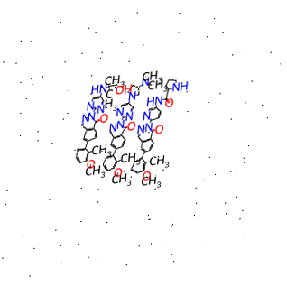 COc1cccc(-c2ccc3c(=O)n(-c4ccc(NC(=O)C5CCCN5)cn4)ncc3c2)c1C.COc1cccc(-c2ccc3c(=O)n(-c4ncc(N5CCC(N(C)C)C5)cn4)ncc3c2)c1C.COc1cccc(-c2ccc3c(=O)n(-c4ncc(NC(C)(C)CO)cn4)ncc3c2)c1C